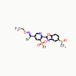 CCS(=O)(=O)c1cc(/C(Br)=N/OCC(F)(F)F)cnc1-c1nc2cc([S+]([O-])C(F)(F)F)ccc2o1